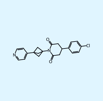 O=C1CC(c2ccc(Cl)cc2)CC(=O)N1C12CC(c3ccncc3)(C1)C2